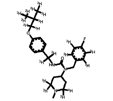 [2H]c1c([2H])c(CN(C(=O)NC([2H])([2H])c2ccc(OC([2H])([2H])C([2H])(C([2H])([2H])[2H])C([2H])([2H])[2H])cc2)C2CC([2H])([2H])N(C)C([2H])([2H])C2)c([2H])c([2H])c1F